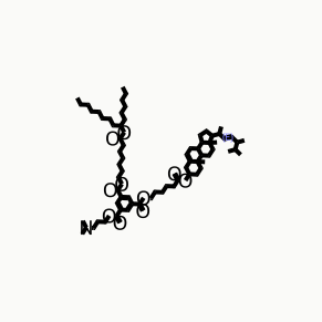 CCCCCCCCC(CCCCCC)OC(=O)CCCCCCOC(=O)c1cc(C(=O)OCCCCCC(=O)OC2CCC3(C)C(=CCC4C3CCC3(C)C(C(C)/C=C/C(C)C(C)C)CCC43)C2)cc(C(=O)OCCCN(C)C)c1